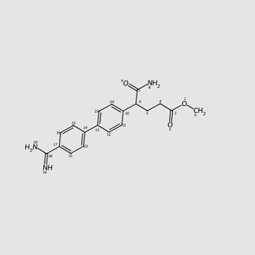 COC(=O)CCC(C(N)=O)c1ccc(-c2ccc(C(=N)N)cc2)cc1